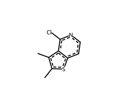 Cc1sc2ccnc(Cl)c2c1C